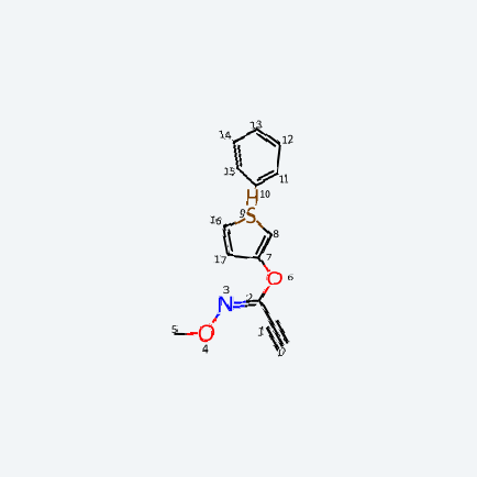 C#CC(=NOC)OC1=C[SH](c2ccccc2)C=C1